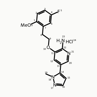 COc1ccc(F)cc1CCOc1cc(-c2ccnn2C)cnc1N.Cl